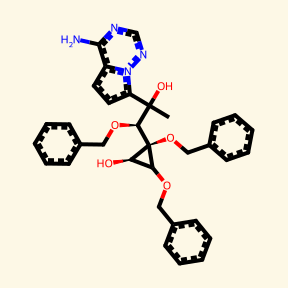 CC(O)(c1ccc2c(N)ncnn12)[C@H](OCc1ccccc1)[C@]1(OCc2ccccc2)C(OCc2ccccc2)[C@H]1O